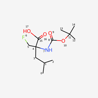 CC(C)CC(CF)(NC(=O)OC(C)(C)C)C(=O)O